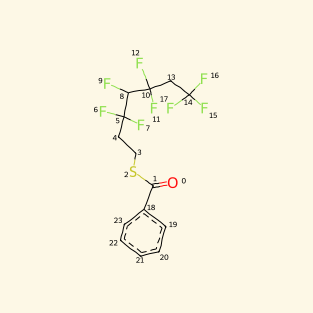 O=C(SCCC(F)(F)C(F)C(F)(F)CC(F)(F)F)c1ccccc1